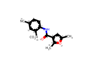 Cc1cc(C(=O)Nc2ccc(C#N)cc2C(=O)O)c(C)o1